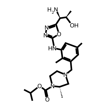 Cc1cc(CN2CCN(C(=O)OC(C)C)[C@@H](C)C2)c(C)c(Nc2nnc([C@@H](N)[C@@H](C)O)o2)c1